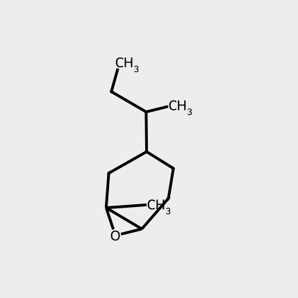 CCC(C)C1CCC2OC2(C)C1